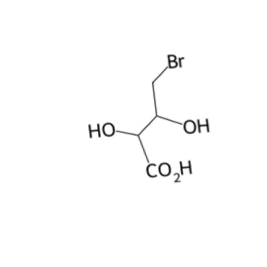 O=C(O)C(O)C(O)CBr